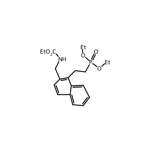 CCOC(=O)NCc1ccc2ccccc2c1CCP(=O)(OCC)OCC